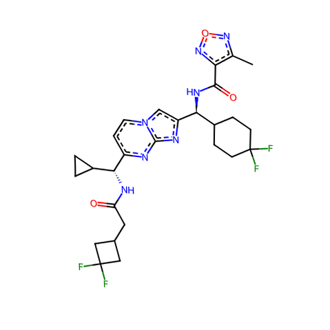 Cc1nonc1C(=O)N[C@H](c1cn2ccc([C@H](NC(=O)CC3CC(F)(F)C3)C3CC3)nc2n1)C1CCC(F)(F)CC1